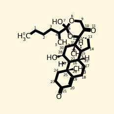 CCCCC(C)C1(O)OCC(=O)[C@]2(CC[C@H]3[C@@H]4CCC5=CC(=O)CC[C@]5(C)[C@H]4[C@@H](O)C[C@@]32C)O1